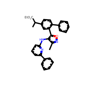 CCOC(=O)C(C)c1ccc(-c2ccccc2)c(-c2onc(C)c2Nc2cccc(-c3ccccc3)n2)c1